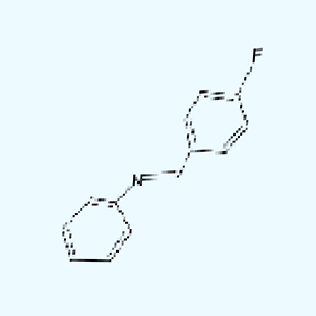 Fc1ccc(C=Nc2ccccc2)cc1